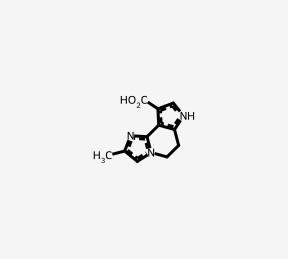 Cc1cn2c(n1)-c1c(C(=O)O)c[nH]c1CC2